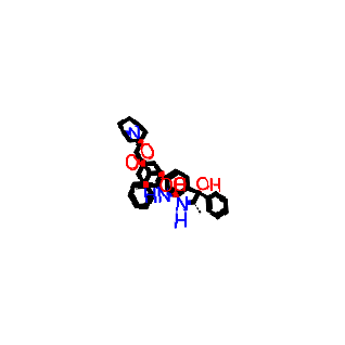 C[C@H](NC(=O)NC1CCC(CCN2C3CCC2CC(OC(=O)C(CO)c2ccccc2)C3)CC1)C(O)(c1ccccc1)c1ccccc1